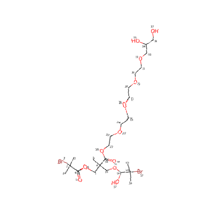 CC(C)(Br)C(=O)OCC(C)(COC(O)C(C)(C)Br)C(=O)OCCOCCOCCOCCOCC(O)CO